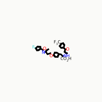 C/C(=C\C(=O)c1ccc(C(F)(F)F)cc1)N[C@@H](Cc1ccc(OCCc2nc(-c3ccc(F)cc3)oc2C)cc1)C(=O)O